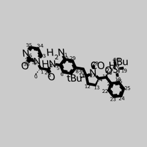 C[C@@H](C(=O)Nc1ccc(C[C@]2(C(C)(C)C)CC[C@H]([C@H](O[Si](C)(C)C(C)(C)C)c3ccccc3)N2C(=O)O)cc1N)n1cccnc1=O